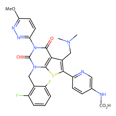 COc1ccc(-n2c(=O)c3c(CN(C)C)c(-c4ccc(NC(=O)O)cn4)sc3n(Cc3c(F)cccc3F)c2=O)nn1